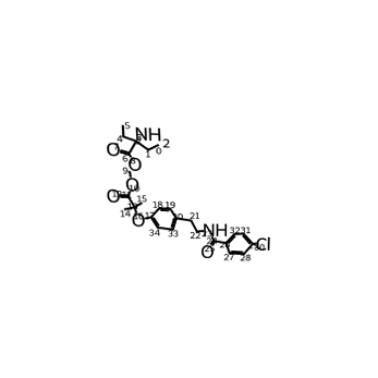 CCC(N)(CC)C(=O)OCOC(=O)C(C)(C)Oc1ccc(CCNC(=O)c2ccc(Cl)cc2)cc1